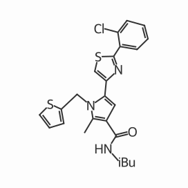 CCC(C)NC(=O)c1cc(-c2csc(-c3ccccc3Cl)n2)n(Cc2cccs2)c1C